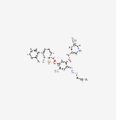 CC(=O)NCCNCc1cc(Cl)c(OCC2(O)C=CC=C(c3ccccc3C)C2C)cc1OCc1cncc(C#N)c1